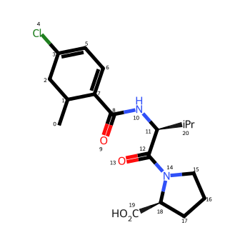 CC1CC(Cl)=CC=C1C(=O)N[C@H](C(=O)N1CCC[C@H]1C(=O)O)C(C)C